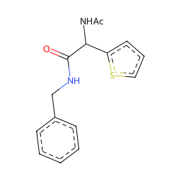 CC(=O)NC(C(=O)NCc1ccccc1)c1cccs1